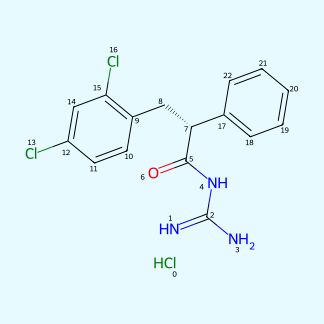 Cl.N=C(N)NC(=O)[C@H](Cc1ccc(Cl)cc1Cl)c1ccccc1